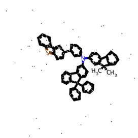 CC1(C)c2ccccc2-c2ccc(N(c3cccc(-c4ccc5sc6ccccc6c5c4)c3)c3ccc4c(c3)-c3ccccc3C4(c3ccccc3)c3ccccc3)cc21